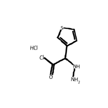 Cl.NNC(C(=O)Cl)c1ccsc1